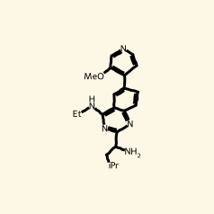 CCNc1nc(C(N)CC(C)C)nc2ccc(-c3ccncc3OC)cc12